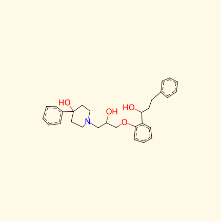 OC(COc1ccccc1C(O)CCc1ccccc1)CN1CCC(O)(c2ccccc2)CC1